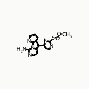 COOSc1nccc(-c2c3cccnc3n3c(N)nccc23)n1